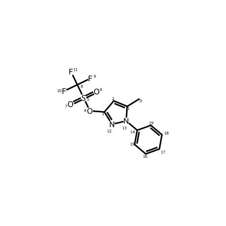 Cc1cc(OS(=O)(=O)C(F)(F)F)nn1-c1ccccc1